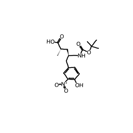 C[C@@H](C[C@H](Cc1ccc(O)c([N+](=O)[O-])c1)NC(=O)OC(C)(C)C)C(=O)O